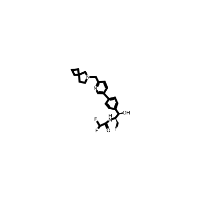 O=C(N[C@H](CF)[C@H](O)c1ccc(-c2ccc(CN3CCC4(CCC4)C3)nc2)cc1)C(F)F